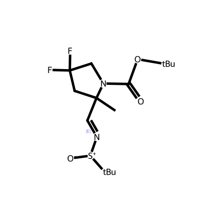 CC(C)(C)OC(=O)N1CC(F)(F)CC1(C)/C=N/[S+]([O-])C(C)(C)C